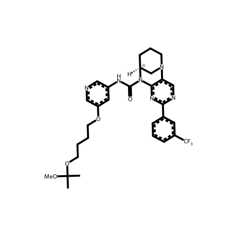 COC(C)(C)OCCCCOc1cncc(NC(=O)N2c3nc(-c4cccc(C(F)(F)F)c4)ncc3N3CCC[C@H]2C3)c1